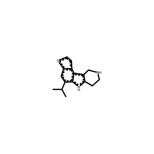 CC(C)c1cc2sccc2c2c3c([nH]c12)CCNC3